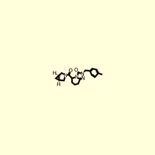 Cc1ccc(Cn2nc3n(c2=O)C(C(=O)N2C[C@H]4C[C@H]4C2)CCC3)cc1